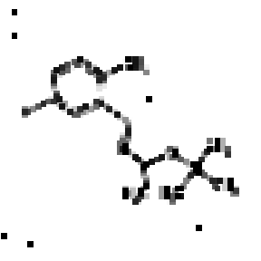 C=C(/N=C/c1cc(F)ccc1C)O[Si](C)(C)C